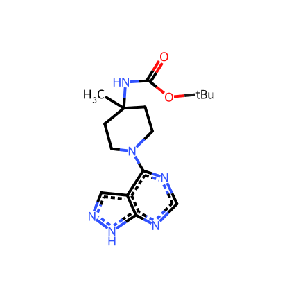 CC1(NC(=O)OC(C)(C)C)CCN(c2ncnc3[nH]ncc23)CC1